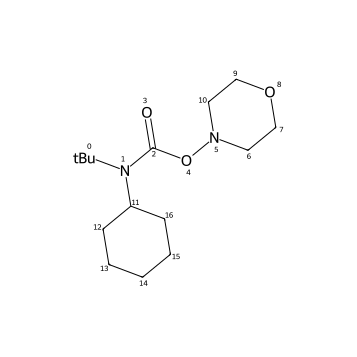 CC(C)(C)N(C(=O)ON1CCOCC1)C1CCCCC1